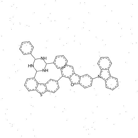 c1ccc(C2NC(c3ccccc3)NC(c3cccc4sc5ccc(-c6cccc7c6oc6ccc(-n8c9ccccc9c9ccccc98)cc67)cc5c34)N2)cc1